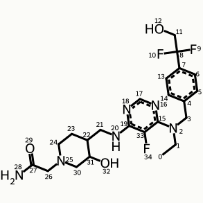 CCN(Cc1ccc(C(F)(F)CO)cc1)c1ncnc(NCC2CCN(CC(N)=O)CC2O)c1F